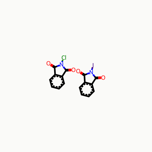 O=C1c2ccccc2C(=O)N1Cl.O=C1c2ccccc2C(=O)N1I